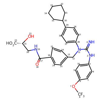 N=C(Nc1ccc(OC(F)(F)F)cc1)N(Cc1ccc(C(=O)NC[C@@H](O)C(=O)O)cc1)c1ccc(C2CCCCC2)cc1